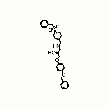 O=S(=O)(Cc1ccccc1)N1CCC(CNC[C@H](O)COc2ccc(OCc3ccccc3)cc2)CC1